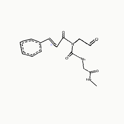 CNC(=O)CNC(=O)N(C[C]=O)C(=O)/C=C/c1ccccc1